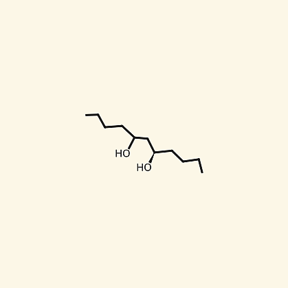 CCCCC(O)C[C@H](O)CCCC